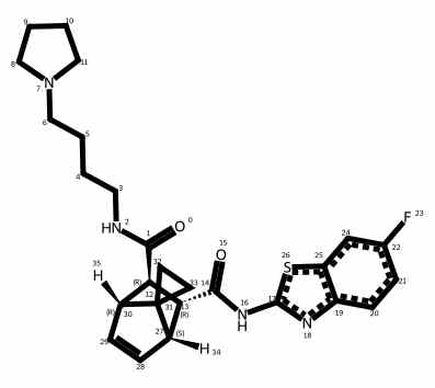 O=C(NCCCCN1CCCC1)[C@H]1[C@H](C(=O)Nc2nc3ccc(F)cc3s2)[C@@H]2C=C[C@H]1C21CC1